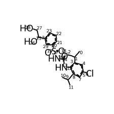 CC(C)c1cc(Cl)cc(C(C)C)c1NC(=O)NS(=O)(=O)c1cccc(C(O)CO)c1